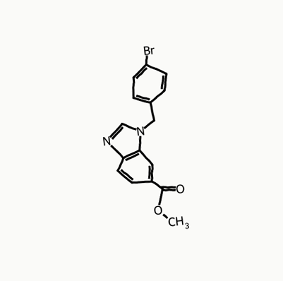 COC(=O)c1ccc2ncn(Cc3ccc(Br)cc3)c2c1